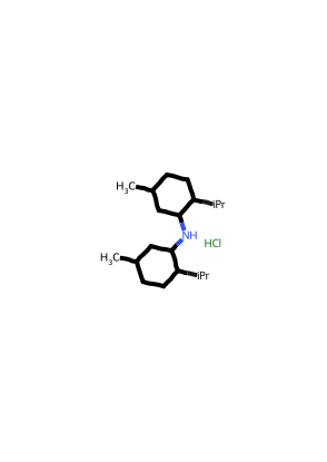 CC1CCC(C(C)C)C(NC2CC(C)CCC2C(C)C)C1.Cl